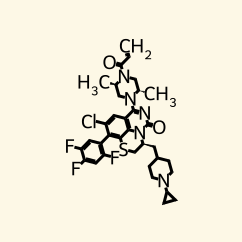 C=CC(=O)N1C[C@H](C)N(c2nc(=O)n3c4c(c(-c5cc(F)c(F)cc5F)c(Cl)cc24)SC[C@@H]3CC2CCN(C3CC3)CC2)C[C@H]1C